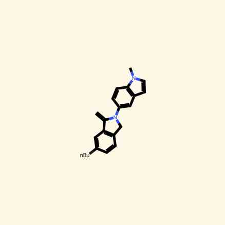 C=C1c2cc(CCCC)ccc2CN1c1ccc2c(ccn2C)c1